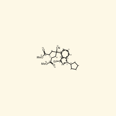 CCc1nn(C2CCCC2)c2cccc(C(C#N)(CCC(=O)OC)CCC(=O)OC)c12